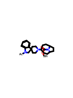 CCCOC(=O)N1C2CCC(N3CCC4(CC3)CN(C(C)=O)c3ccccc34)CCC1CC2